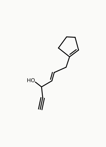 C#CC(O)C=CCC1=CCCC1